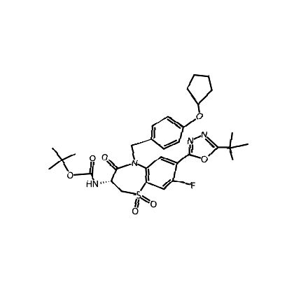 CC(C)(C)OC(=O)N[C@H]1CS(=O)(=O)c2cc(F)c(-c3nnc(C(C)(C)C)o3)cc2N(Cc2ccc(OC3CCCC3)cc2)C1=O